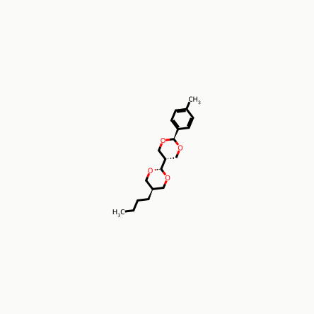 CCCC[C@H]1CO[C@H]([C@H]2CO[C@H](c3ccc(C)cc3)OC2)OC1